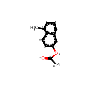 Cc1cccc2cc(OC(=O)C(C)C)ccc12